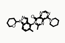 Cc1ccc2c(cnn2C2CCCCO2)c1-n1c(C)nc2c(N3CCCCC3)ncnc2c1=O